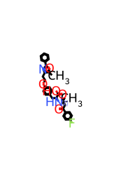 C/C(=C/C(=O)c1ccc(F)cc1)NC(Cc1ccc(OCCc2nc(-c3ccccc3)oc2C)cc1)C(=O)O